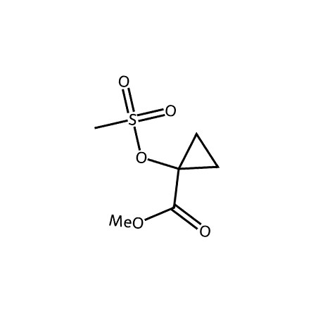 COC(=O)C1(OS(C)(=O)=O)CC1